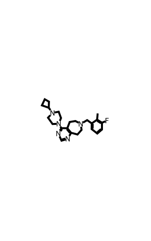 Cc1c(F)cccc1CN1CCc2ncnc(N3CCN(C4CCC4)CC3)c2CC1